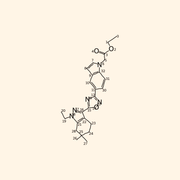 CCOC(=O)Cn1ccc2cc(-c3noc(-c4nn(CC)c5c4CCC(C)(C)C5)n3)ccc21